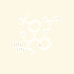 O=C(O)COc1ccccc1C(=C1C(=O)NNC1=O)c1cccc(C(F)(F)F)c1